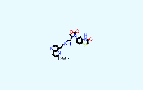 COc1ccc2nccc(CCNCC[C@H]3COC(=O)N3c3ccc4c(c3)NC(=O)CS4)c2n1